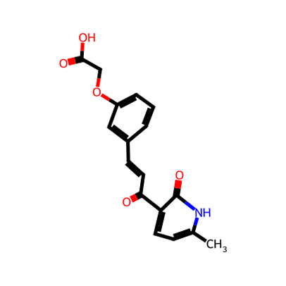 Cc1ccc(C(=O)C=Cc2cccc(OCC(=O)O)c2)c(=O)[nH]1